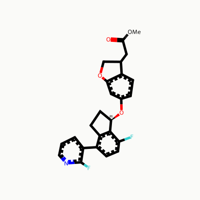 COC(=O)CC1COc2cc(O[C@@H]3CCc4c(-c5cccnc5F)ccc(F)c43)ccc21